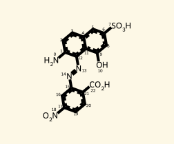 Nc1ccc2cc(S(=O)(=O)O)cc(O)c2c1/N=N/c1cc([N+](=O)[O-])ccc1C(=O)O